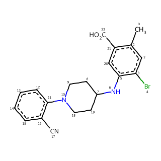 Cc1cc(Br)c(NC2CCN(c3ccccc3C#N)CC2)cc1C(=O)O